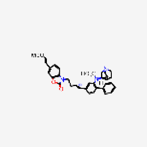 COC=Cc1ccc2c(c1)oc(=O)n2CC/C=C/c1ccc(-c2ccccc2)c(N(C(=O)O)[C@H]2CN3CCC2CC3)c1